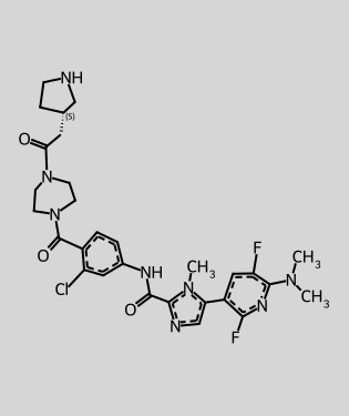 CN(C)c1nc(F)c(-c2cnc(C(=O)Nc3ccc(C(=O)N4CCN(C(=O)C[C@@H]5CCNC5)CC4)c(Cl)c3)n2C)cc1F